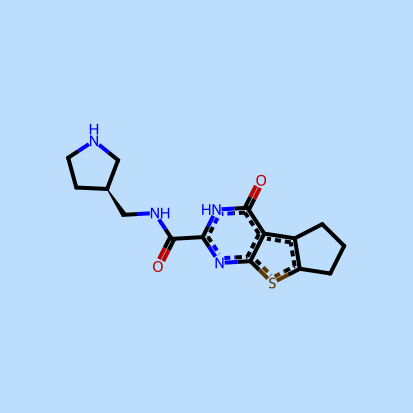 O=C(NC[C@H]1CCNC1)c1nc2sc3c(c2c(=O)[nH]1)CCC3